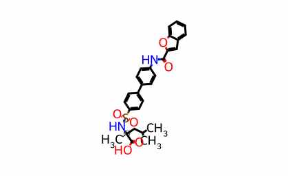 CC(C)C[C@](C)(NS(=O)(=O)c1ccc(-c2ccc(NC(=O)c3cc4ccccc4o3)cc2)cc1)C(=O)O